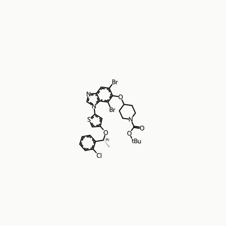 C[C@@H](Oc1csc(-n2cnc3cc(Br)c(OC4CCN(C(=O)OC(C)(C)C)CC4)c(Br)c32)c1)c1ccccc1Cl